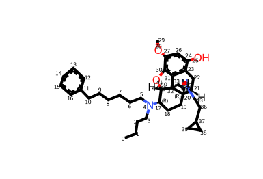 CCCCN(CCCCCCc1ccccc1)[C@@H]1CC[C@H]2[C@H]3Cc4c(O)cc(OC)c5c4[C@@]2(CCN3CC2CC2)[C@H]1O5